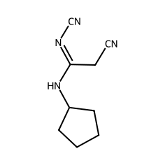 N#CC/C(=N\C#N)NC1CCCC1